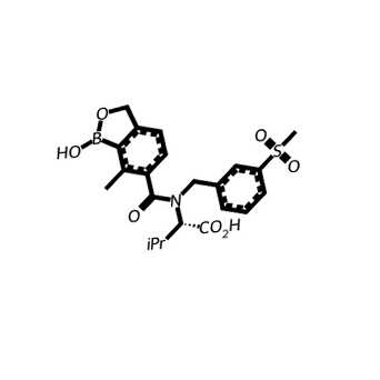 Cc1c(C(=O)N(Cc2cccc(S(C)(=O)=O)c2)[C@H](C(=O)O)C(C)C)ccc2c1B(O)OC2